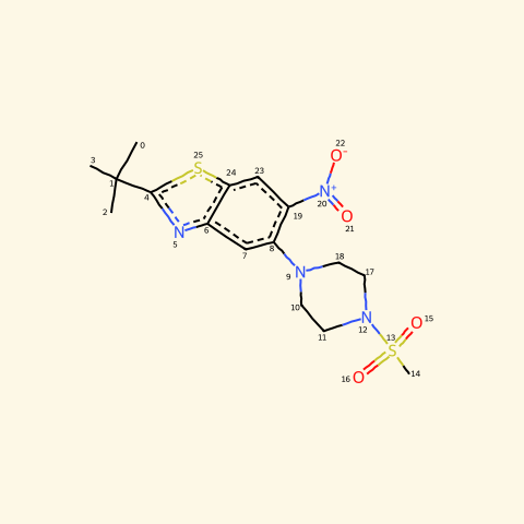 CC(C)(C)c1nc2cc(N3CCN(S(C)(=O)=O)CC3)c([N+](=O)[O-])cc2s1